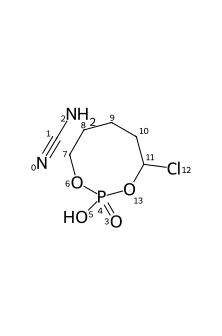 N#CN.O=P1(O)OCCCCC(Cl)O1